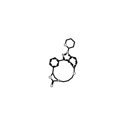 O=C1OC2CN1CCCOc1ccc3c(c1)c(nn3C1CCCCO1)-c1cccc2c1